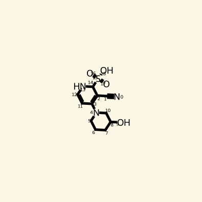 N#CC1=C(N2CCCC(O)C2)C=CNC1S(=O)(=O)O